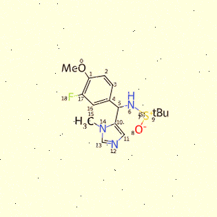 COc1ccc(C(N[S@+]([O-])C(C)(C)C)c2cncn2C)cc1F